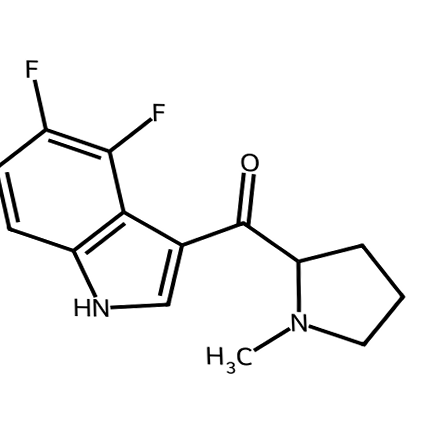 CN1CCCC1C(=O)c1c[nH]c2ccc(F)c(F)c12